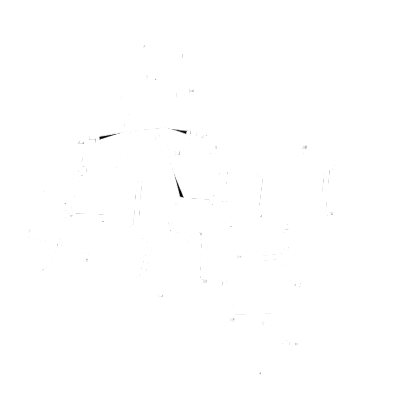 C=C1[C@H](O[Si](C)(C)C(C)(C)C)[C@@H]2OC(C)(C)O[C@@H]2[C@@]1(C=O)COC(c1ccccc1)(c1ccccc1)c1ccc(OC)cc1